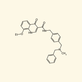 CCOc1cccc2c(=O)c(C(=O)NCc3ccc(CN(C)Cc4ccccc4)cc3)c[nH]c12